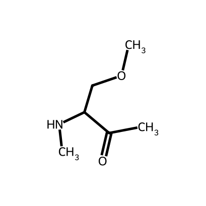 CNC(COC)C(C)=O